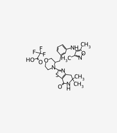 Cc1noc(C)c1Nc1cccc(CC2COCCN2c2nc3c(s2)C(=O)NC(C)(C)C3)c1.O=C(O)C(F)(F)F